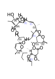 C/C=N/O[C@H]1[C@H](C)O[C@@H](O[C@H]2[C@H](C)O[C@@H](O[C@@H]3/C(C)=C/C[C@@H]4C[C@@H](C[C@]5(C=C[C@H](C)[C@@H](C(C)CC)O5)O4)OC(=O)[C@@H]4C=C(C)[C@@H](O)[C@H]5OC/C(=C\C=C\[C@@H]3C)[C@]54O)C[C@@H]2OC)C[C@@H]1OC